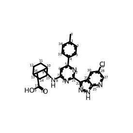 Cc1ccc(-c2cc(NC3C4CCC(CC4)C3C(=O)O)nc(-c3n[nH]c4ncc(Cl)cc34)n2)cc1